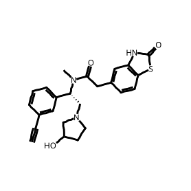 C#Cc1cccc([C@@H](CN2CCC(O)C2)N(C)C(=O)Cc2ccc3sc(=O)[nH]c3c2)c1